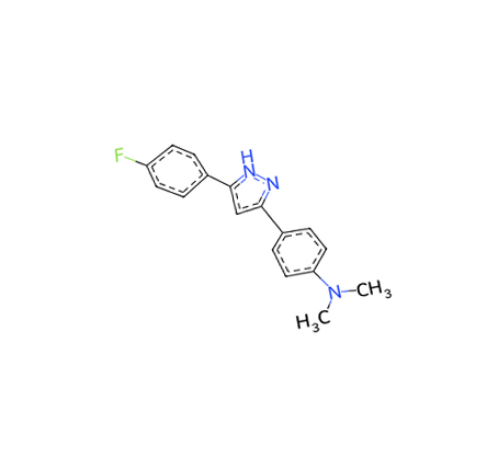 CN(C)c1ccc(-c2cc(-c3ccc(F)cc3)[nH]n2)cc1